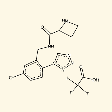 O=C(NCc1cc(Cl)ccc1-n1cnnn1)C1CCN1.O=C(O)C(F)(F)F